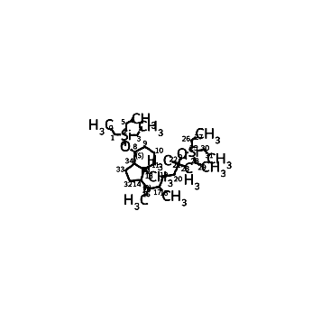 CC[Si](CC)(CC)O[C@H]1CCC[C@]2(C)C([C@H](C)C(C)CCC(C)(C)O[Si](CC)(CC)CC)CCC12